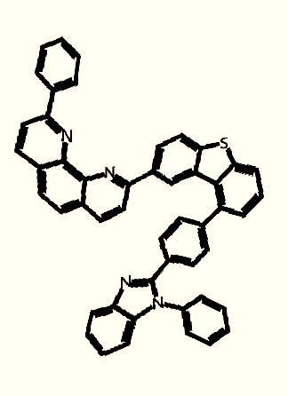 c1ccc(-c2ccc3ccc4ccc(-c5ccc6sc7cccc(-c8ccc(-c9nc%10ccccc%10n9-c9ccccc9)cc8)c7c6c5)nc4c3n2)cc1